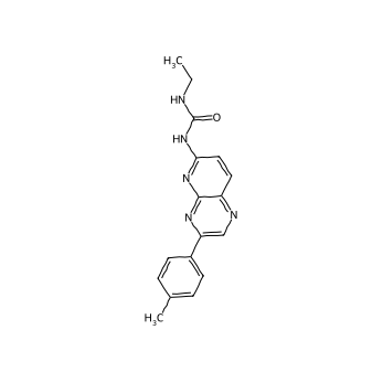 CCNC(=O)Nc1ccc2ncc(-c3ccc(C)cc3)nc2n1